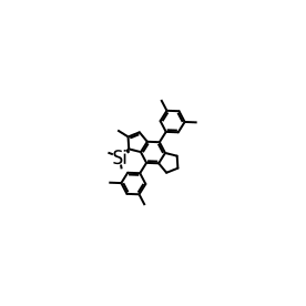 CC1=Cc2c(c(-c3cc(C)cc(C)c3)c3c(c2-c2cc(C)cc(C)c2)CCC3)C1=[Si](C)C